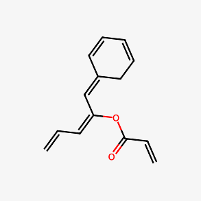 C=C/C=C(\C=C1\C=CC=CC1)OC(=O)C=C